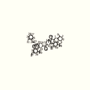 Cc1ccccc1C=CC(=O)N1CCC(C(=O)C2CCN(C(=O)C=Cc3ccccc3C)C(c3ccc(F)cc3F)C2)CC1c1ccc(F)cc1F